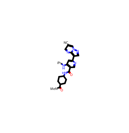 CNC(=O)C1CCC(NC(=O)c2cnc(-c3cnn4cc(C#N)cnc34)cc2NC(C)C)CC1